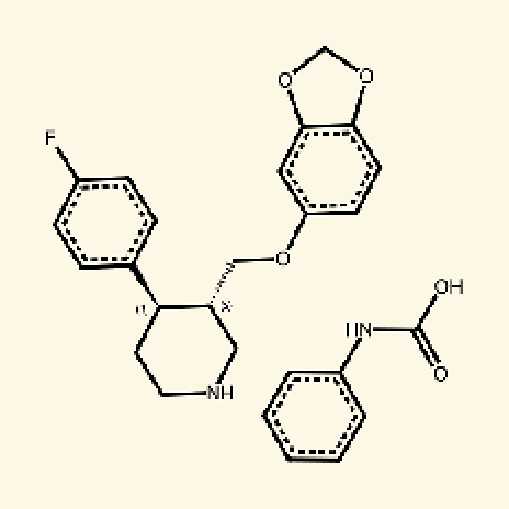 Fc1ccc([C@@H]2CCNC[C@H]2COc2ccc3c(c2)OCO3)cc1.O=C(O)Nc1ccccc1